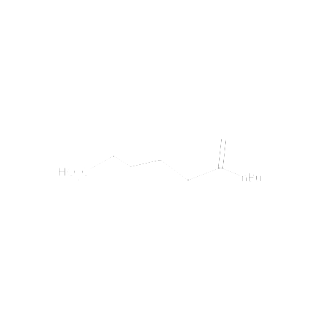 [CH]=C(CCCC)CCCCC(=O)O